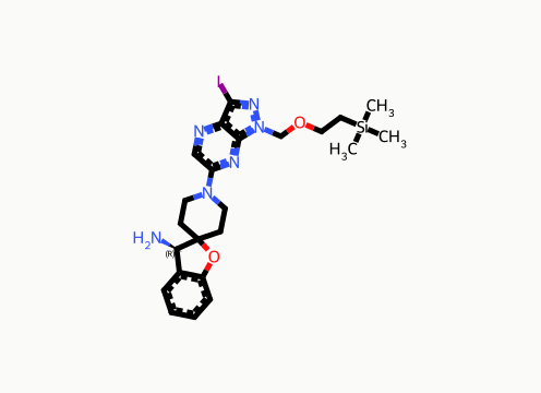 C[Si](C)(C)CCOCn1nc(I)c2ncc(N3CCC4(CC3)Oc3ccccc3[C@H]4N)nc21